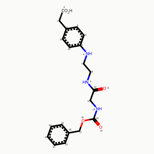 O=C(O)Cc1ccc(NCCNC(=O)CNC(=O)OCc2ccccc2)cc1